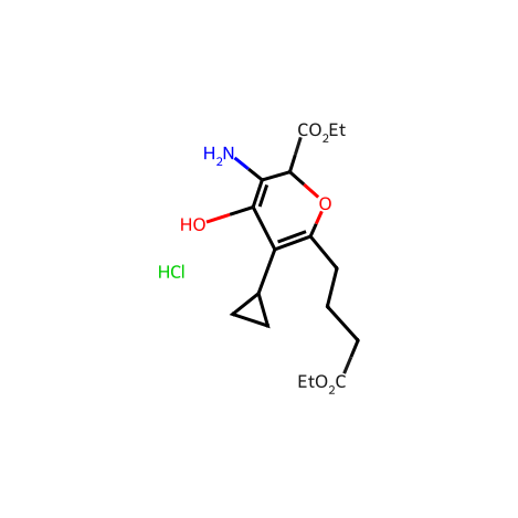 CCOC(=O)CCCC1=C(C2CC2)C(O)=C(N)C(C(=O)OCC)O1.Cl